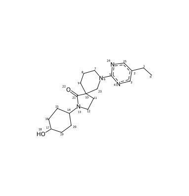 CCc1cnc(N2CCCC3(CCN(C4CCC(O)CC4)C3=O)C2)nc1